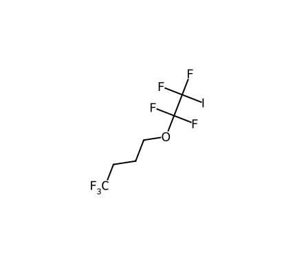 FC(F)(F)CCCOC(F)(F)C(F)(F)I